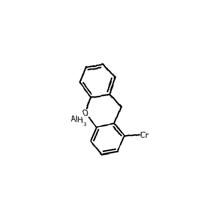 [AlH3].[Cr][c]1cccc2c1Cc1ccccc1O2